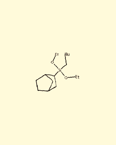 CCO[Si](CC(C)CC)(OCC)C1CC2CCC1C2